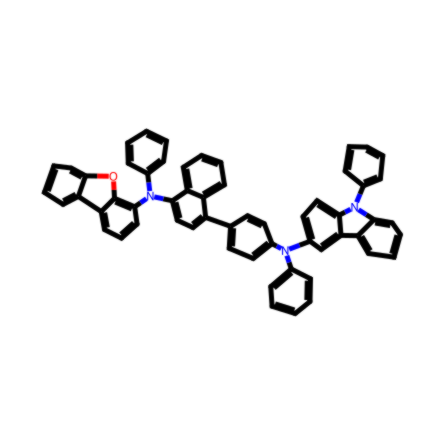 c1ccc(N(c2ccc(-c3ccc(N(c4ccccc4)c4cccc5c4oc4ccccc45)c4ccccc34)cc2)c2ccc3c(c2)c2ccccc2n3-c2ccccc2)cc1